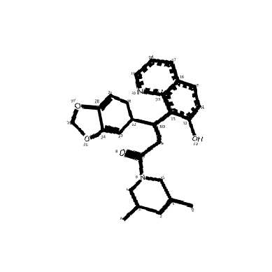 CC1CC(C)CN(C(=O)CC(c2c(O)ccc3cccnc23)C2C=C3OCOC3=CC2)C1